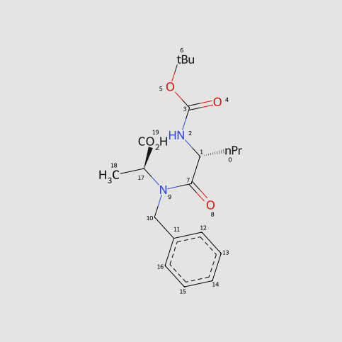 CCC[C@@H](NC(=O)OC(C)(C)C)C(=O)N(Cc1ccccc1)[C@@H](C)C(=O)O